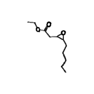 CCCCCC1OC1CC(=O)OCC